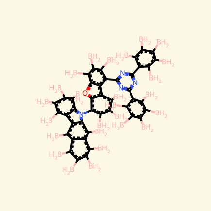 Bc1c(B)c(B)c(-c2nc(-c3c(B)c(B)c(B)c(B)c3B)nc(-c3c(B)c(B)c(B)c4oc5c(-n6c7c(B)c(B)c(B)c(B)c7c7c(B)c8c(B)c(B)c(B)c(B)c8c(B)c76)c(B)c(B)c(B)c5c34)n2)c(B)c1B